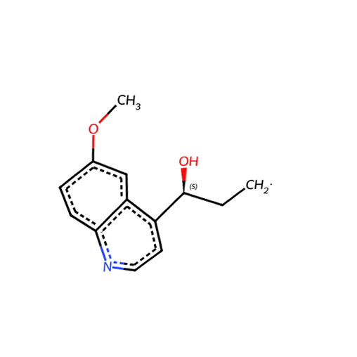 [CH2]C[C@H](O)c1ccnc2ccc(OC)cc12